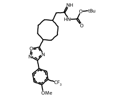 COc1ccc(-c2noc(C3CCCC(CC(=N)NC(=O)OC(C)(C)C)CCC3)n2)cc1C(F)(F)F